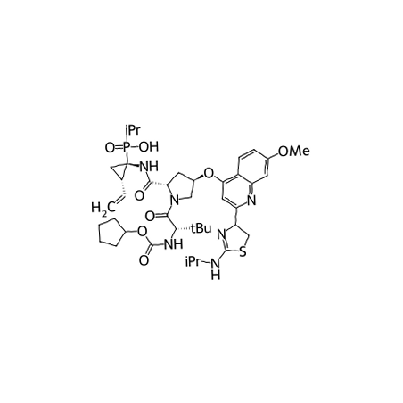 C=C[C@@H]1C[C@]1(NC(=O)[C@@H]1C[C@@H](Oc2cc(C3CSC(NC(C)C)=N3)nc3cc(OC)ccc23)CN1C(=O)[C@@H](NC(=O)OC1CCCC1)C(C)(C)C)P(=O)(O)C(C)C